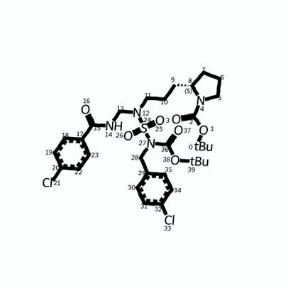 CC(C)(C)OC(=O)N1CCC[C@H]1CCCN(CNC(=O)c1ccc(Cl)cc1)S(=O)(=O)N(Cc1ccc(Cl)cc1)C(=O)OC(C)(C)C